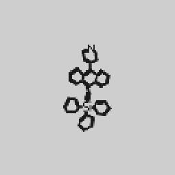 C(#C[Si](c1ccccc1)(c1ccccc1)c1ccccc1)c1c2ccccc2c(-c2ccncc2)c2ccccc12